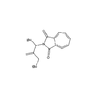 C=C(CC(C)(C)C)C(C(C)CC)N1C(=C)C2=CC=CC=C=C2C1=O